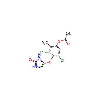 CC(=O)Oc1cc(Cl)c(Oc2c[nH]c(=O)[nH]2)c(Cl)c1C